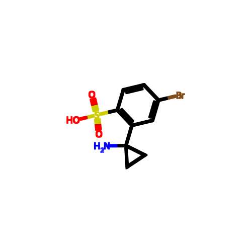 NC1(c2cc(Br)ccc2S(=O)(=O)O)CC1